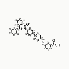 O=C(O)c1cccc(OCC2CCN(c3ccc(NC(=O)c4ccccc4Cc4ccccc4)cn3)CC2)c1